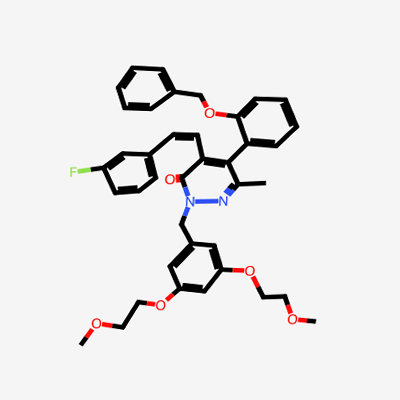 COCCOc1cc(Cn2nc(C)c(-c3ccccc3OCc3ccccc3)c(C=Cc3cccc(F)c3)c2=O)cc(OCCOC)c1